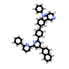 c1ccc(-c2cccc(-c3cc(-c4ccc5ccccc5c4)cc(-c4ccc(-c5ccc6c(c5)c5cnccc5n6-c5ccccc5)cc4)n3)n2)cc1